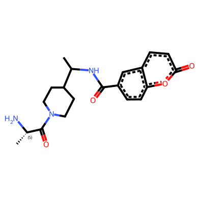 CC(NC(=O)c1ccc2oc(=O)ccc2c1)C1CCN(C(=O)[C@H](C)N)CC1